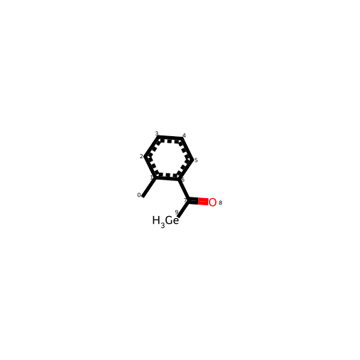 Cc1ccccc1[C](=O)[GeH3]